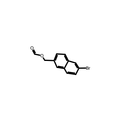 O=COCc1ccc2cc(Br)ccc2c1